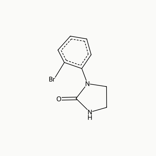 O=C1NCCN1c1ccccc1Br